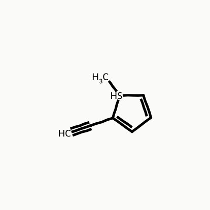 C#CC1=CC=C[SH]1C